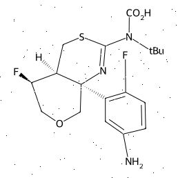 CC(C)(C)N(C(=O)O)C1=N[C@@]2(c3cc(N)ccc3F)COC[C@@H](F)[C@H]2CS1